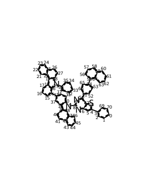 c1ccc(-c2cc3nc(-n4c5ccc(-c6cccc7c8c9ccccc9ccc8n(-c8ccccc8)c67)cc5c5ccc6ccccc6c54)nc(-c4ccc(-c5cccc6ccccc56)cc4)c3s2)cc1